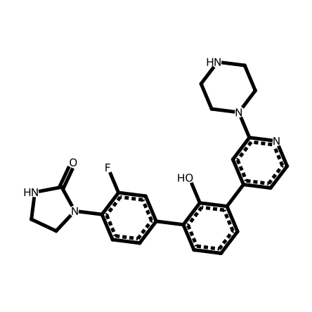 O=C1NCCN1c1ccc(-c2cccc(-c3ccnc(N4CCNCC4)c3)c2O)cc1F